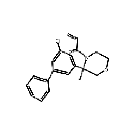 C=CC(=O)N1CCOCC1(C)c1cc(Cl)cc(-c2ccccc2)c1